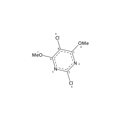 COc1nc(Cl)nc(OC)c1Cl